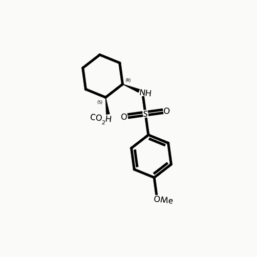 COc1ccc(S(=O)(=O)N[C@@H]2CCCC[C@@H]2C(=O)O)cc1